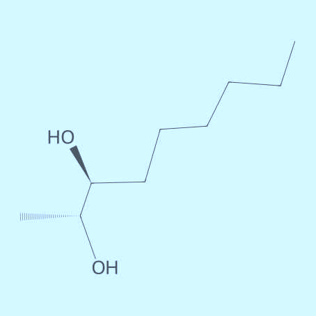 CCCCCC[C@H](O)[C@@H](C)O